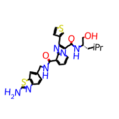 CC(C)C[C@@H](CO)NC(=O)c1c(-c2ccsc2)nc2c(C(=O)NCc3ccc4nc(N)sc4c3)cccn12